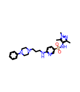 Cc1nn(C)c(C)c1NS(=O)(=O)c1ccc(NCCCN2CCN(c3ccccc3)CC2)nc1